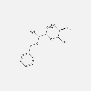 COC(OC(C)[C@H](C)O)C(N)OCc1ccccc1